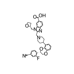 N#Cc1ccc([C@H]2COc3cccc(C4CCN(Cc5nc6ccc(C(=O)O)cc6n5C[C@@H]5CCO5)CC4)c3O2)c(F)c1